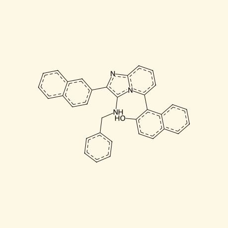 Oc1ccc2ccccc2c1-c1cccc2nc(-c3ccc4ccccc4c3)c(NCc3ccccc3)n12